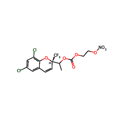 CC(OC(=O)OCCO[N+](=O)[O-])[C@]1(C(F)(F)F)C=Cc2cc(Cl)cc(Cl)c2O1